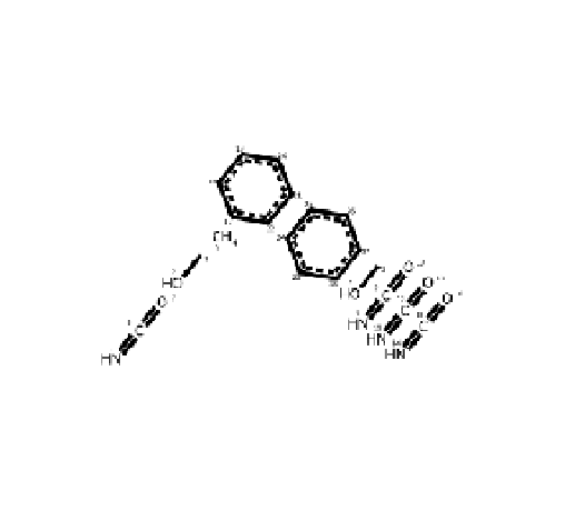 C.CO.CO.N=C=O.N=C=O.N=C=O.N=C=O.c1ccccc1.c1ccccc1